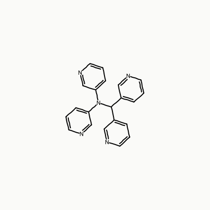 c1cncc(C(c2cccnc2)N(c2cccnc2)c2cccnc2)c1